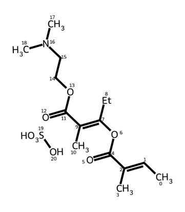 CC=C(C)C(=O)OC(CC)=C(C)C(=O)OCCN(C)C.O=S(=O)(O)O